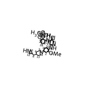 COc1cc(N2CCC(CC3CNC3)CC2)ccc1Nc1ncc(Cl)c(Nc2ccccc2N(C)S(C)(=O)=O)n1